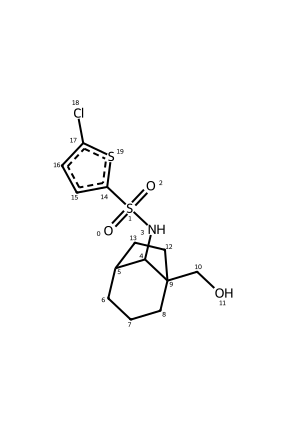 O=S(=O)(NC1C2CCCC1(CO)CC2)c1ccc(Cl)s1